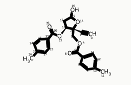 C#C[C@]1(COC(=O)c2ccc(C)cc2)OC(O)C[C@@H]1OC(=O)c1ccc(C)cc1